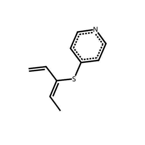 C=C/C(=C/C)Sc1ccncc1